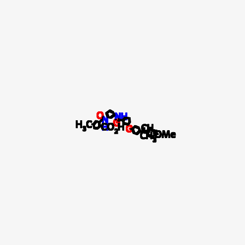 COc1ccc(C(C)(C)c2ccc(Oc3cccc(C(=O)Nc4cccc(NC(=O)c5cc(C)ccc5C(=O)O)c4)c3)cc2)cc1